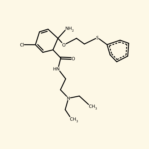 CCN(CC)CCNC(=O)C1C=C(Cl)C=CC1(N)OCCSc1ccccc1